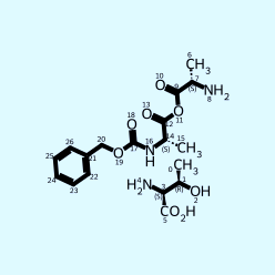 C[C@@H](O)[C@H](N)C(=O)O.C[C@H](N)C(=O)OC(=O)[C@H](C)NC(=O)OCc1ccccc1